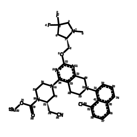 CN1CC(F)(F)C[C@H]1COc1nc2c(c(N3CCN(C(=O)OC(C)(C)C)[C@@H](CC#N)C3)n1)CCN(c1cccc3cccc(Cl)c13)C2